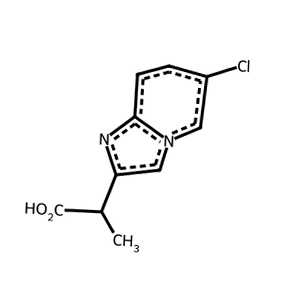 CC(C(=O)O)c1cn2cc(Cl)ccc2n1